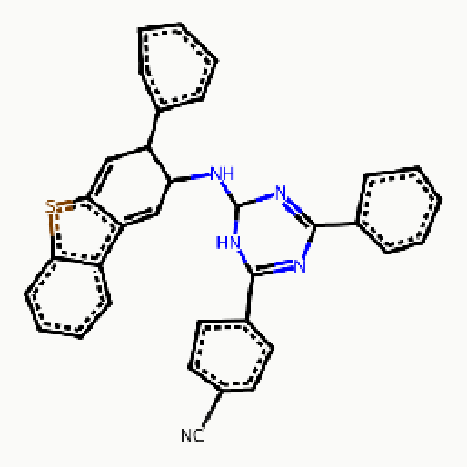 N#Cc1ccc(C2=NC(c3ccccc3)=NC(NC3C=c4c(sc5ccccc45)=CC3c3ccccc3)N2)cc1